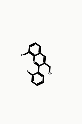 OCc1cc2cccc(Cl)c2nc1-c1ccccc1F